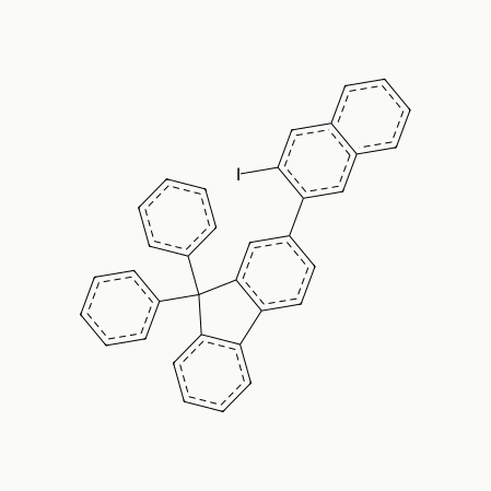 Ic1cc2ccccc2cc1-c1ccc2c(c1)C(c1ccccc1)(c1ccccc1)c1ccccc1-2